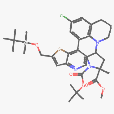 COC(=O)C1(C)CC(N2CCCc3cc(Cl)cc(-c4ccnc5cc(CO[Si](C)(C)C(C)(C)C)sc45)c32)CN1C(=O)OC(C)(C)C